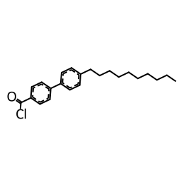 CCCCCCCCCCc1ccc(-c2ccc(C(=O)Cl)cc2)cc1